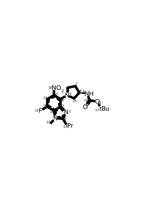 CC(C)c1nc2c(N3CC[C@@H](NC(=O)OC(C)(C)C)C3)c([N+](=O)[O-])cc(F)c2n1C